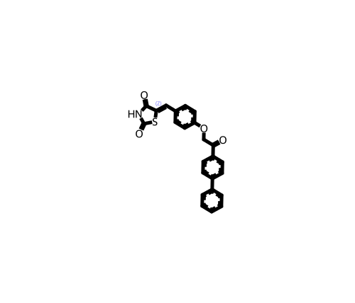 O=C1NC(=O)/C(=C/c2ccc(OCC(=O)c3ccc(-c4ccccc4)cc3)cc2)S1